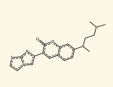 CN(C)CCN(C)c1ccc2cc(-c3cn4ccsc4n3)c(=O)oc2c1